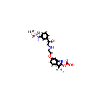 Cc1c(OC(=O)O)[nH]c2cc(OCCNC[C@H](O)c3cccc(NS(C)(=O)=O)c3)ccc12